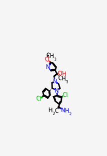 C=C(N)c1ccc(N2CCN(C[C@@](C)(O)c3ccc(OC)nc3)C[C@H]2c2ccc(Cl)cc2)c(Cl)c1